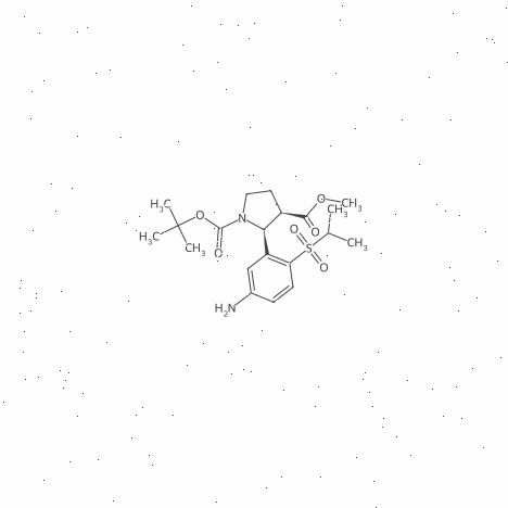 COC(=O)[C@@H]1CCN(C(=O)OC(C)(C)C)[C@@H]1c1cc(N)ccc1S(=O)(=O)C(C)C